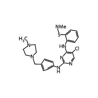 CNSc1ccccc1Nc1nc(Nc2ccc(CN3CCN(C)CC3)cc2)ncc1Cl